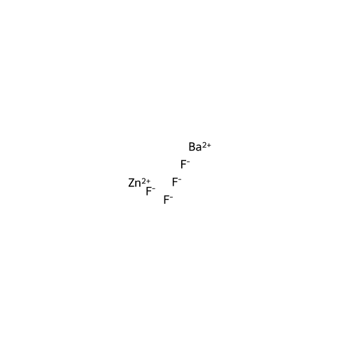 [Ba+2].[F-].[F-].[F-].[F-].[Zn+2]